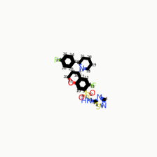 O=S(=O)(Nc1ncns1)c1cc2c(cc1F)[C@@H](N1CCCC[C@H]1c1ccc(F)cc1)CCO2